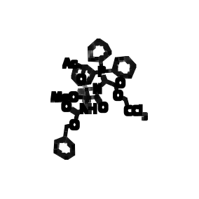 CO[C@]1(NC(=O)OCc2ccccc2)C(=O)N(C(C(=O)OCC(Cl)(Cl)Cl)=P(c2ccccc2)(c2ccccc2)c2ccccc2)[C@H]1OCC(C)=O